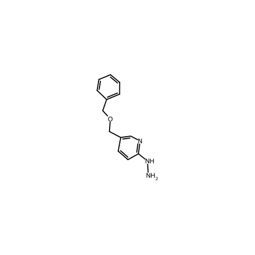 NNc1ccc(COCc2ccccc2)cn1